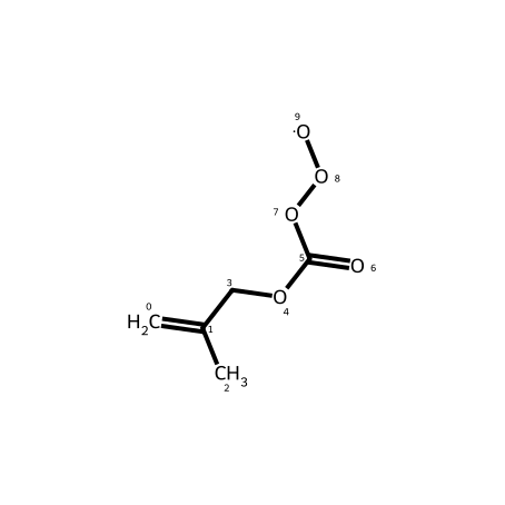 C=C(C)COC(=O)OO[O]